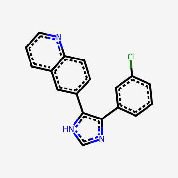 Clc1cccc(-c2nc[nH]c2-c2ccc3ncccc3c2)c1